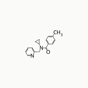 Cc1ccc(C(=O)N(Cc2ccccn2)C2CC2)cc1